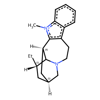 CC[C@H]1C[C@H]2C[C@H]3c4c(c5ccccc5n4C)CCN(C2)C13